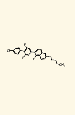 CCCCCc1ccc2c(F)c(-c3cc(F)c(-c4ccc(Cl)cc4)c(F)c3)ccc2c1